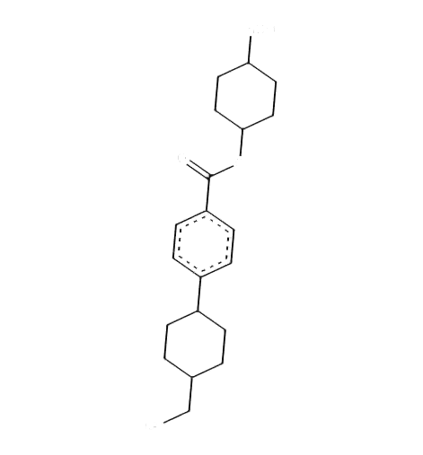 CCCCCCCCC1CCC(OC(=O)c2ccc(C3CCC(CC(C)CC)CC3)cc2)CC1